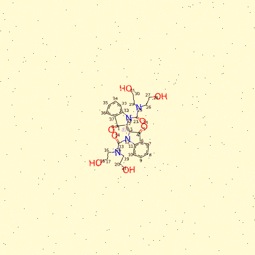 O=C1/C(=C2/C(=O)c3ccccc3N2C(=O)N(CCO)CCO)N(C(=O)N(CCO)CCO)c2ccccc21